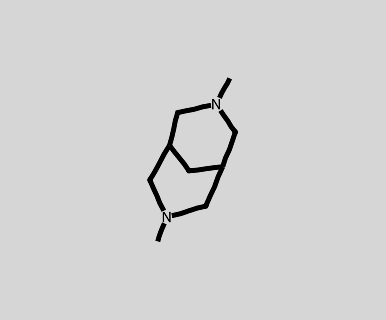 CN1CC2CC(C1)CN(C)C2